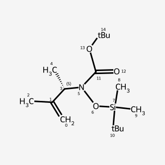 C=C(C)[C@H](C)N(O[Si](C)(C)C(C)(C)C)C(=O)OC(C)(C)C